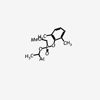 COCP(=O)(Oc1c(C)cccc1C)OC(C)C(C)=O